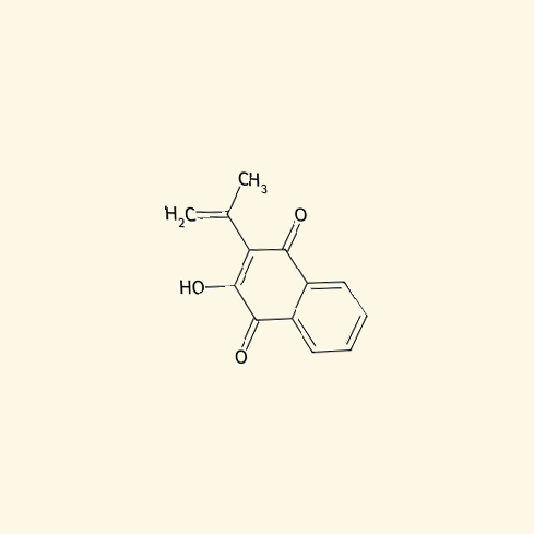 C=C(C)C1=C(O)C(=O)c2ccccc2C1=O